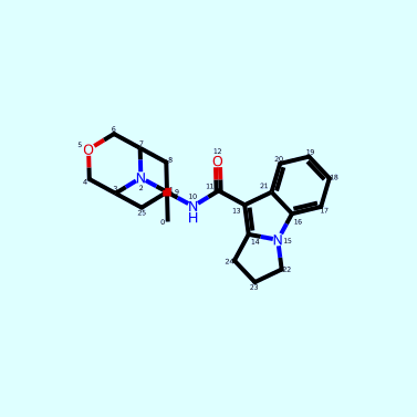 CCN1C2COCC1CC(NC(=O)c1c3n(c4ccccc14)CCC3)C2